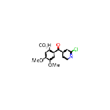 COc1cc(C(=O)O)c(C(=O)c2ccnc(Cl)c2)cc1OC